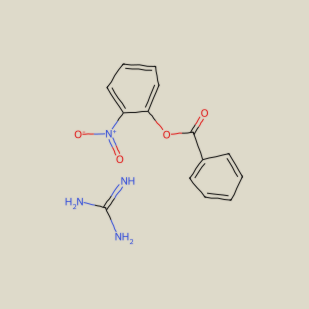 N=C(N)N.O=C(Oc1ccccc1[N+](=O)[O-])c1ccccc1